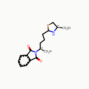 CCOC(=O)[C@@H]1CSC(CCC[C@@H](C(=O)O)N2C(=O)c3ccccc3C2=O)N1